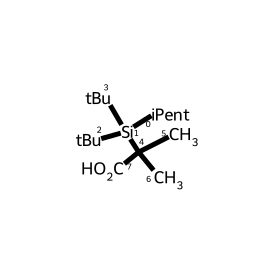 CCCC(C)[Si](C(C)(C)C)(C(C)(C)C)C(C)(C)C(=O)O